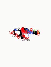 CC[C@H]1OC(=O)[C@H](C)[C@@H](C2C[C@@](C)(OC)[C@@H](O)[C@H](C)O2)[C@H](C)[C@@H](O[C@@H]2O[C@H](C)C[C@H](N(C)CCNC(=O)N[C@H](CF)Cc3ccc(S(C)(=O)=O)cc3)[C@H]2O)[C@](C)(O)C[C@@H](C)CN(C)[C@H](C)[C@@H](O)[C@]1(C)O